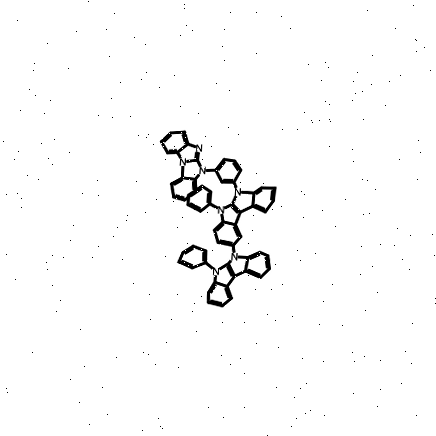 c1ccc(-n2c3ccccc3c3c4ccccc4n(-c4ccc5c(c4)c4c6ccccc6n(-c6cccc(-n7c8ccccc8n8c9ccccc9nc78)c6)c4n5-c4ccccc4)c32)cc1